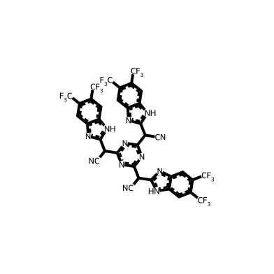 N#CC(c1nc(C(C#N)c2nc3cc(C(F)(F)F)c(C(F)(F)F)cc3[nH]2)nc(C(C#N)c2nc3cc(C(F)(F)F)c(C(F)(F)F)cc3[nH]2)n1)c1nc2cc(C(F)(F)F)c(C(F)(F)F)cc2[nH]1